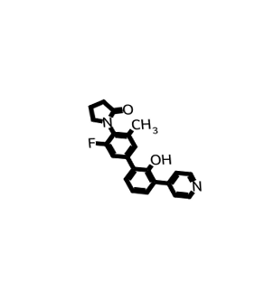 Cc1cc(-c2cccc(-c3ccncc3)c2O)cc(F)c1N1CCCC1=O